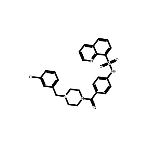 O=C(c1ccc(NS(=O)(=O)c2cccc3cccnc23)cc1)N1CCN(Cc2cccc(Cl)c2)CC1